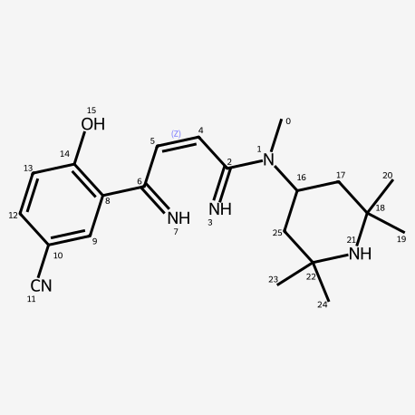 CN(C(=N)/C=C\C(=N)c1cc(C#N)ccc1O)C1CC(C)(C)NC(C)(C)C1